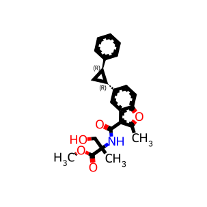 COC(=O)C(C)(CO)NC(=O)c1c(C)oc2ccc([C@@H]3C[C@H]3c3ccccc3)cc12